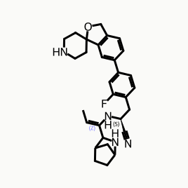 C/C=C(\N[C@H](C#N)Cc1ccc(-c2ccc3c(c2)C2(CCNCC2)OC3)cc1F)C1NC2CCC1C2